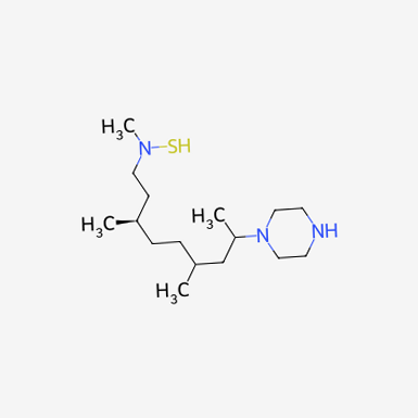 CC(CC[C@@H](C)CCN(C)S)CC(C)N1CCNCC1